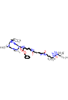 CN1CCN(CC(=O)O)CCN(CC(=O)O)CCN(CC(=O)NC(CCCCNC(=O)CCCCCCC(=O)NCCCC[C@H](NC(=O)N[C@@H](CCC(=O)O)C(=O)O)C(=O)O)C(=O)OCc2ccccc2)CC1